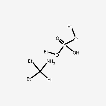 CCC(N)(CC)CC.CCOP(=O)(O)OCC